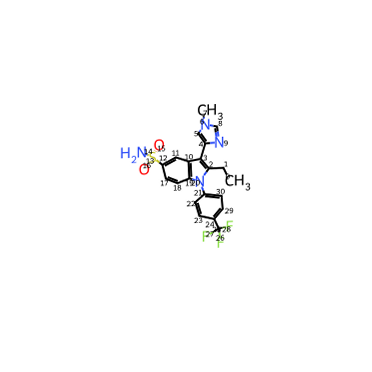 CCc1c(-c2cn(C)cn2)c2cc(S(N)(=O)=O)ccc2n1-c1ccc(C(F)(F)F)cc1